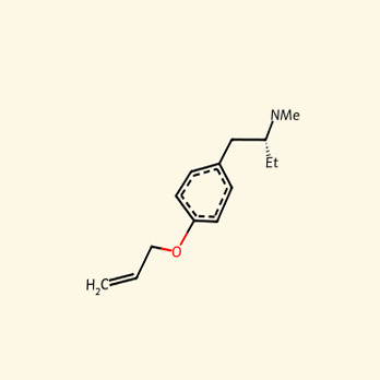 C=CCOc1ccc(C[C@@H](CC)NC)cc1